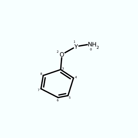 [NH2][Y][O]c1ccccc1